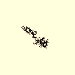 C=CS/C(=N\CCC(=O)N1CCN(C)CC1)NS(=O)(=O)c1cccc(Cl)c1C